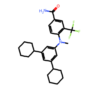 CN(c1cc(C2CCCCC2)cc(C2CCCCC2)c1)c1ccc(C(N)=O)cc1C(F)(F)F